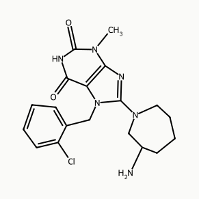 Cn1c(=O)[nH]c(=O)c2c1nc(N1CCCCC(N)C1)n2Cc1ccccc1Cl